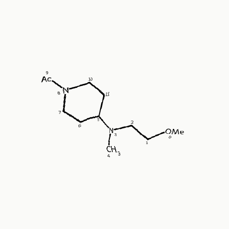 COCCN(C)C1CCN(C(C)=O)CC1